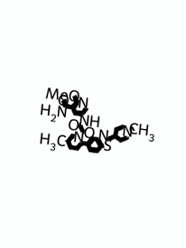 COc1ncc(NC(=O)C(=O)N2C[C@@H](C)CCC2c2ccc3sc(C4CCN(C)CC4)nc3c2)cc1C(N)=O